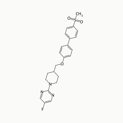 CS(=O)(=O)c1ccc(-c2ccc(OCC3CCN(c4ncc(F)cn4)CC3)cc2)cc1